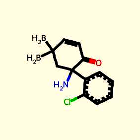 BC1(B)C=CC(=O)C(N)(c2ccccc2Cl)C1